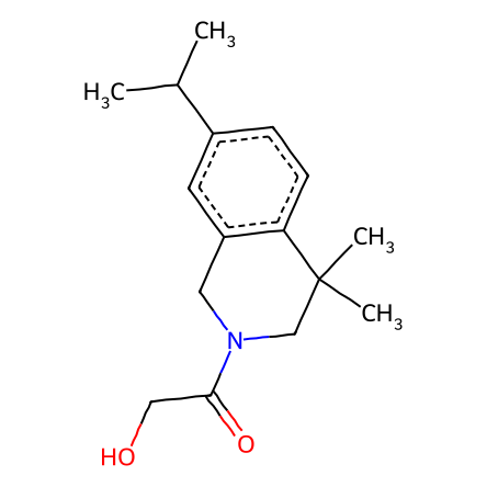 CC(C)c1ccc2c(c1)CN(C(=O)CO)CC2(C)C